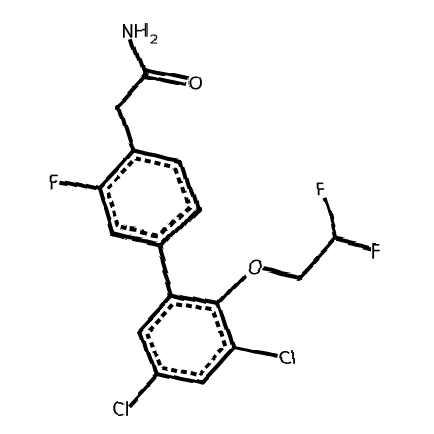 NC(=O)Cc1ccc(-c2cc(Cl)cc(Cl)c2OCC(F)F)cc1F